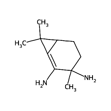 CC1(N)CCC2C(=C1N)C2(C)C